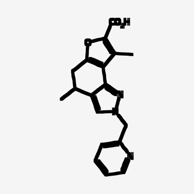 Cc1c(C(=O)O)oc2c1-c1nn(Cc3ccccn3)cc1C(C)C2